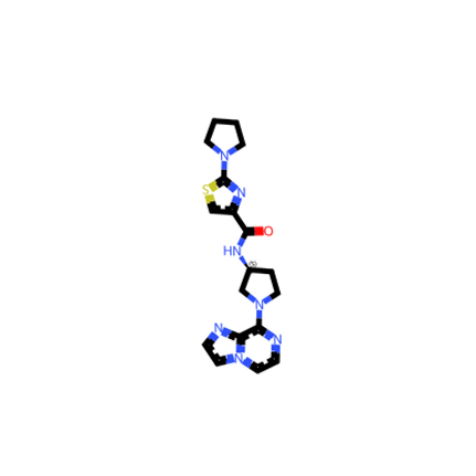 O=C(N[C@H]1CCN(c2nccn3ccnc23)C1)c1csc(N2CCCC2)n1